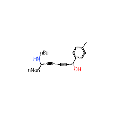 CCCCCCCCC[C@H](C#CC#C[C@@H](O)c1ccc(C)cc1)NCCCC